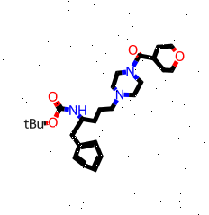 CC(C)(C)OC(=O)NC(CCCN1CCN(C(=O)C2CCOCC2)CC1)Cc1ccccc1